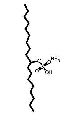 CCCCCCCCCC(CCCCCCCC)OS(=O)(=O)O.N